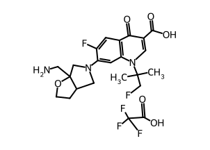 CC(C)(CF)n1cc(C(=O)O)c(=O)c2cc(F)c(N3CC4CCOC4(CN)C3)cc21.O=C(O)C(F)(F)F